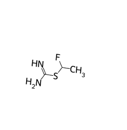 CC(F)SC(=N)N